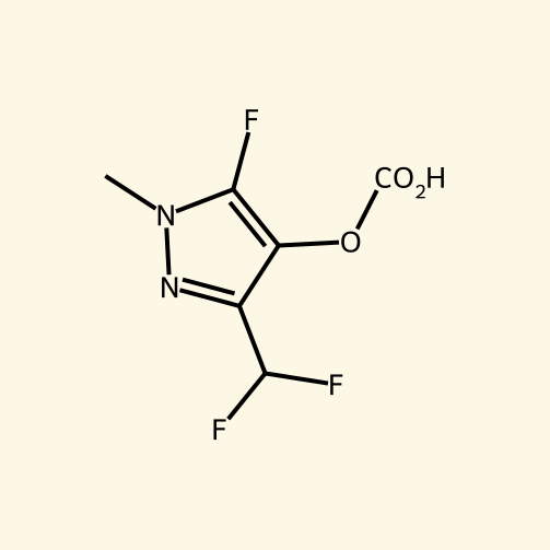 Cn1nc(C(F)F)c(OC(=O)O)c1F